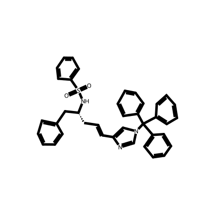 O=S(=O)(N[C@H](CC=Cc1cn(C(c2ccccc2)(c2ccccc2)c2ccccc2)cn1)Cc1ccccc1)c1ccccc1